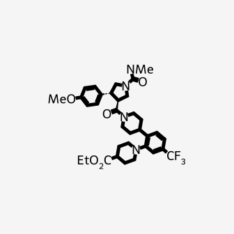 CCOC(=O)C1CCN(c2cc(C(F)(F)F)ccc2C2CCN(C(=O)[C@@H]3CN(C(=O)NC)C[C@H]3c3ccc(OC)cc3)CC2)CC1